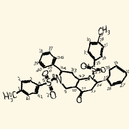 Cc1ccc(S(=O)(=O)N2CC3C(=O)CC([C@@H]4C=CC=CC4)N(S(=O)(=O)c4ccc(C)cc4)C3CC2c2ccccc2)cc1